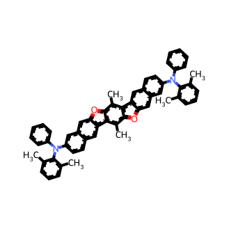 Cc1cccc(C)c1N(c1ccccc1)c1ccc2cc3c(cc2c1)oc1c(C)c2c(oc4cc5cc(N(c6ccccc6)c6c(C)cccc6C)ccc5cc42)c(C)c13